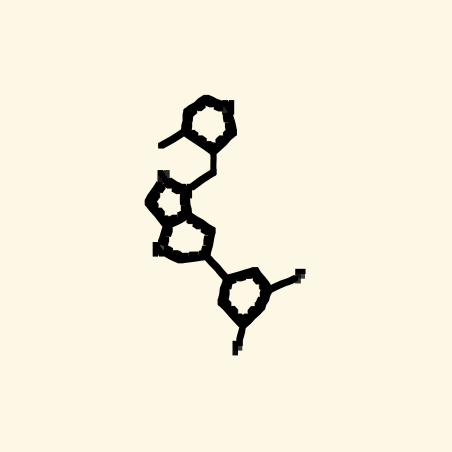 Cc1ccncc1Cn1ncc2ncc(-c3cc(F)cc(F)c3)cc21